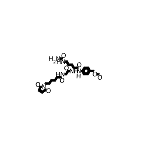 NC(=O)NCCCC(NC(=O)CNC(=O)CCCCCN1C(=O)C=CC1=O)C(=O)Nc1ccc(COC=O)cc1